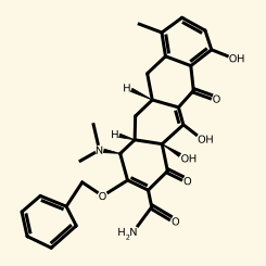 Cc1ccc(O)c2c1C[C@H]1C[C@H]3[C@H](N(C)C)C(OCc4ccccc4)=C(C(N)=O)C(=O)[C@@]3(O)C(O)=C1C2=O